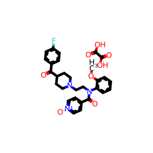 COc1ccccc1N(CCN1CCC(C(=O)c2ccc(F)cc2)CC1)C(=O)c1cc[n+]([O-])cc1.O=C(O)C(=O)O